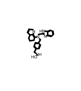 ONCc1ccc(CN(Cc2nc3ccccc3[nH]2)C2=C3N=CC=CC3CCC2)cc1